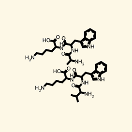 CC(C)C(N)C(=O)NC(Cc1c[nH]c2ccccc12)C(=O)NC(CCCCN)C(=O)O.CC(N)C(=O)NC(Cc1c[nH]c2ccccc12)C(=O)NC(CCCCN)C(=O)O